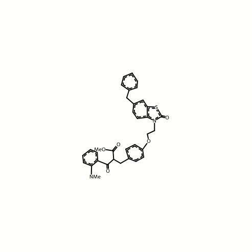 CNc1ccccc1C(=O)C(Cc1ccc(OCCn2c(=O)sc3cc(Cc4ccccc4)ccc32)cc1)C(=O)OC